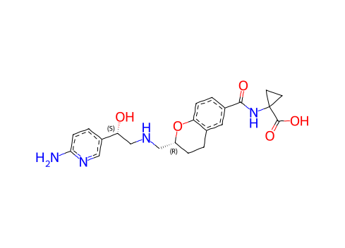 Nc1ccc([C@H](O)CNC[C@H]2CCc3cc(C(=O)NC4(C(=O)O)CC4)ccc3O2)cn1